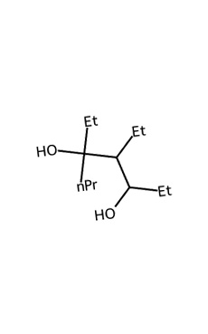 CCCC(O)(CC)C(CC)C(O)CC